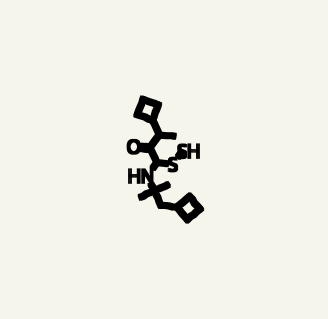 CC(C(=O)C(NC(C)(C)CC1CCC1)SS)C1CCC1